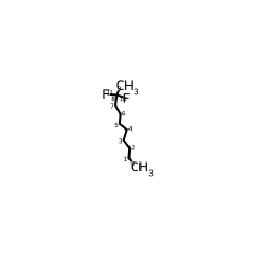 CCCCCCCCC(C)(F)F